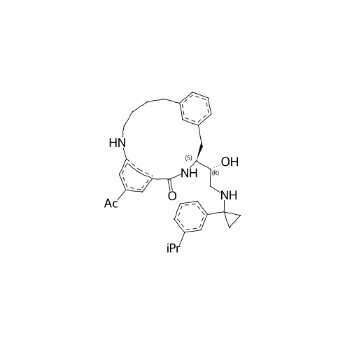 CC(=O)c1cc2cc(c1)C(=O)N[C@H]([C@H](O)CNC1(c3cccc(C(C)C)c3)CC1)Cc1cccc(c1)CCCCN2